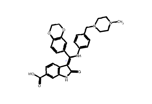 CN1CCN(Cc2ccc(N/C(=C3\C(=O)Nc4cc(C(=O)O)ccc43)c3ccc4c(c3)OCCO4)cc2)CC1